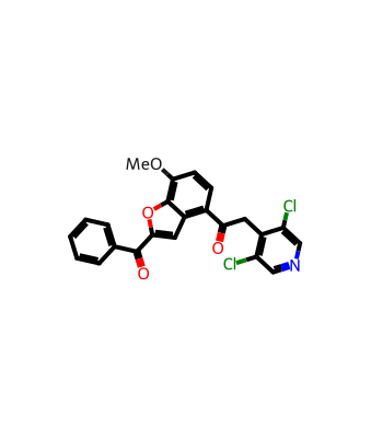 COc1ccc(C(=O)Cc2c(Cl)cncc2Cl)c2cc(C(=O)c3ccccc3)oc12